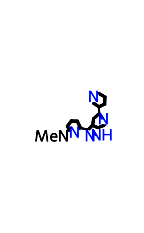 CNc1cccc(-c2n[nH]c3cnc(-c4cccnc4)cc23)n1